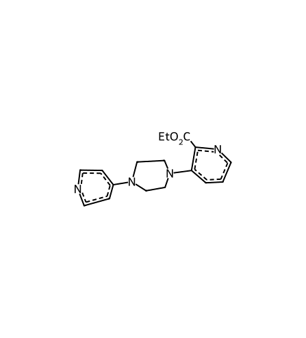 CCOC(=O)c1ncccc1N1CCN(c2ccncc2)CC1